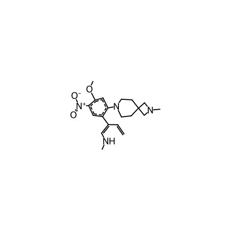 C=C/C(=C\NC)c1cc([N+](=O)[O-])c(OC)cc1N1CCC2(CC1)CN(C)C2